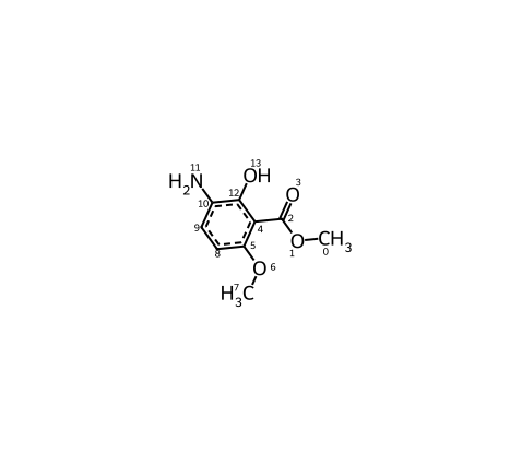 COC(=O)c1c(OC)ccc(N)c1O